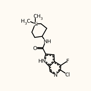 C[Si]1(C)CCC(NC(=O)c2cc3c(F)c(Cl)ncc3[nH]2)CC1